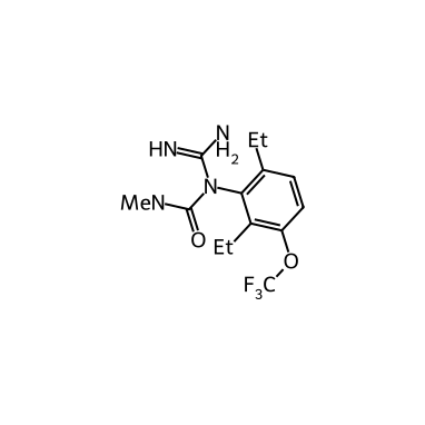 CCc1ccc(OC(F)(F)F)c(CC)c1N(C(=N)N)C(=O)NC